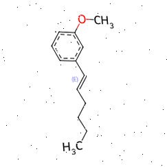 CCCC/C=C/c1cc[c]c(OC)c1